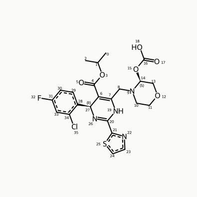 CC(C)OC(=O)C1=C(CN2CCOC[C@@H]2OC(=O)O)NC(c2nccs2)=N[C@H]1c1ccc(F)cc1Cl